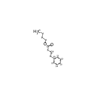 CCCCOC(=O)CSCc1ccccc1